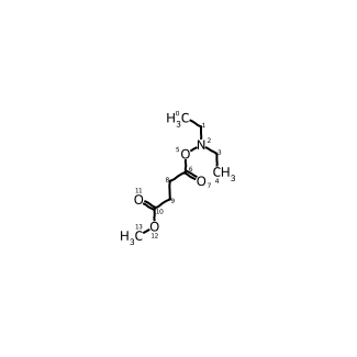 CCN(CC)OC(=O)CCC(=O)OC